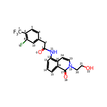 O=C(Cc1ccc(C(F)(F)F)c(F)c1)Nc1cccc2c(=O)n(CCO)ccc12